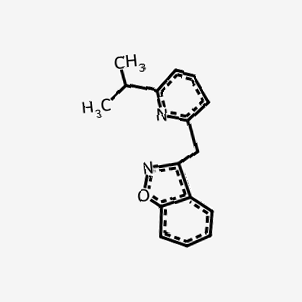 CC(C)c1cccc(Cc2noc3ccccc23)n1